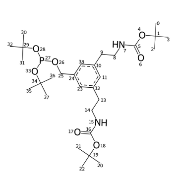 CC(C)(C)OC(=O)NCCc1cc(CCNC(=O)OC(C)(C)C)cc(COP(OC(C)(C)C)OC(C)(C)C)c1